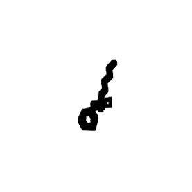 CCCCCC[Si](C)(Cl)Oc1ccccc1